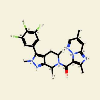 CCC1Cc2c(nn(C)c2-c2cc(F)c(F)c(F)c2)C(CC)N1C(=O)c1c(C)nc2cc(C)cnn12